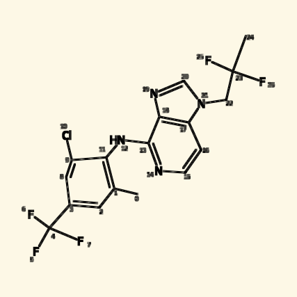 Cc1cc(C(F)(F)F)cc(Cl)c1Nc1nccc2c1ncn2CC(C)(F)F